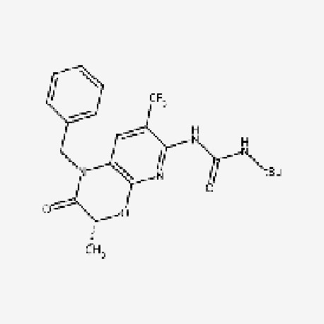 C[C@H]1Oc2nc(NC(=O)NC(C)(C)C)c(C(F)(F)F)cc2N(Cc2ccccc2)C1=O